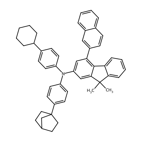 CC1(C)c2ccccc2-c2c(-c3ccc4ccccc4c3)cc(N(c3ccc(C4CCCCC4)cc3)c3ccc(C45CCC(CC4)C5)cc3)cc21